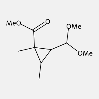 COC(=O)C1(C)C(C)C1C(OC)OC